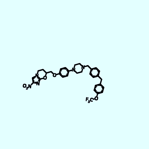 O=[N+]([O-])c1cn2c(n1)OC(COc1ccc(N3CCN(Cc4ccc(Cc5ccc(OC(F)(F)F)cc5)cc4)CC3)cc1)CC2